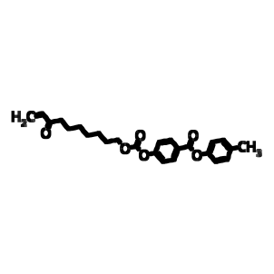 C=CC(=O)CCCCCCCOC(=O)Oc1ccc(C(=O)Oc2ccc(C)cc2)cc1